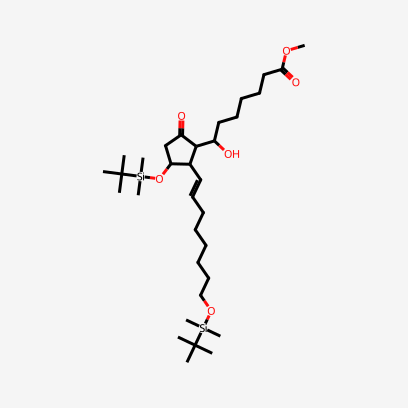 COC(=O)CCCCCC(O)C1C(=O)CC(O[Si](C)(C)C(C)(C)C)C1C=CCCCCCCO[Si](C)(C)C(C)(C)C